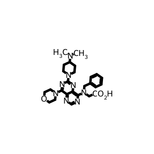 CN(C)C1CCN(c2nc(N3CCOCC3)c3ncnc(N(CC(=O)O)Cc4ccccc4)c3n2)CC1